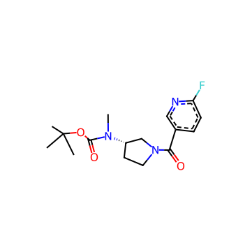 CN(C(=O)OC(C)(C)C)[C@H]1CCN(C(=O)c2ccc(F)nc2)C1